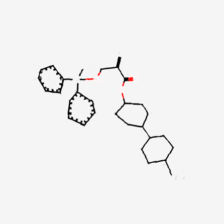 C=C(CO[Si](c1ccccc1)(c1ccccc1)C(C)(C)C)C(=O)OC1CCC(C2CCC(CCCCC)CC2)CC1